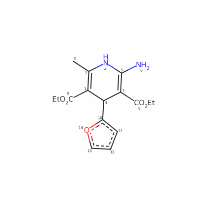 CCOC(=O)C1=C(C)NC(N)=C(C(=O)OCC)C1c1ccco1